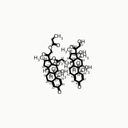 CCC(=O)OCC(=O)[C@@]1(OC(=O)CC)[C@@H](C)C[C@H]2[C@@H]3CCC4=CC(=O)C=C[C@]4(C)[C@@]3(Cl)[C@@H](O)C[C@@]21C.C[C@H]1C[C@H]2[C@@H]3CCC4=CC(=O)C=C[C@]4(C)[C@@]3(Cl)[C@@H](O)C[C@]2(C)[C@@]1(O)C(=O)CO